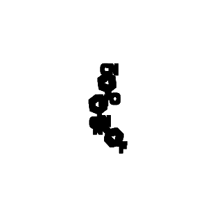 N#Cc1ccc(C(=O)N2CCC[C@H](c3nc(-c4ccc(F)cc4)no3)C2)cc1